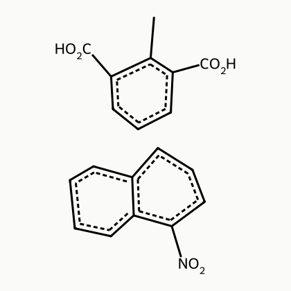 Cc1c(C(=O)O)cccc1C(=O)O.O=[N+]([O-])c1cccc2ccccc12